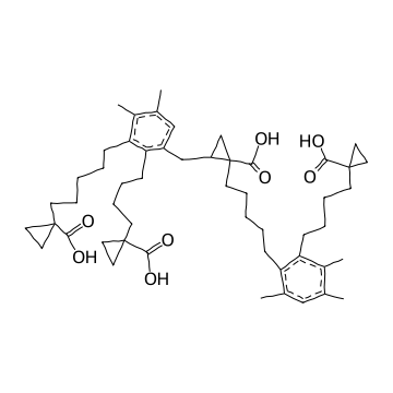 Cc1cc(C)c(CCCCCC2(C(=O)O)CC2Cc2cc(C)c(C)c(CCCCCC3(C(=O)O)CC3)c2CCCCC2(C(=O)O)CC2)c(CCCCC2(C(=O)O)CC2)c1C